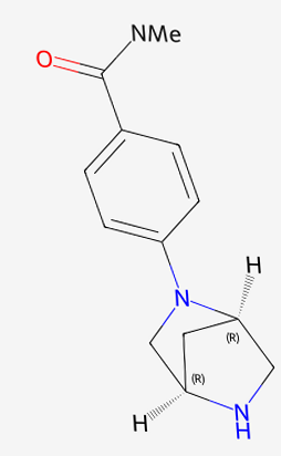 CNC(=O)c1ccc(N2C[C@H]3C[C@@H]2CN3)cc1